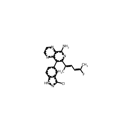 C/C(F)=C\C=C(/C)c1nc(N)c2nccnc2c1-c1ccc2[nH]nc(Cl)c2c1